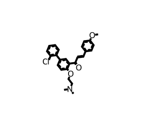 COc1ccc(C=CC(=O)c2cc(-c3ccccc3Cl)ccc2OCCN(C)C)cc1